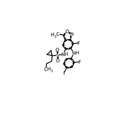 CCCC1(S(=O)(=O)Nc2cc3c(C)onc3c(F)c2Nc2ccc(I)cc2F)CC1